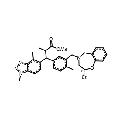 CC[C@@H]1CN(Cc2cc(C(c3ccc4c(nnn4C)c3C)C(C)C(=O)OC)ccc2C)Cc2ccccc2O1